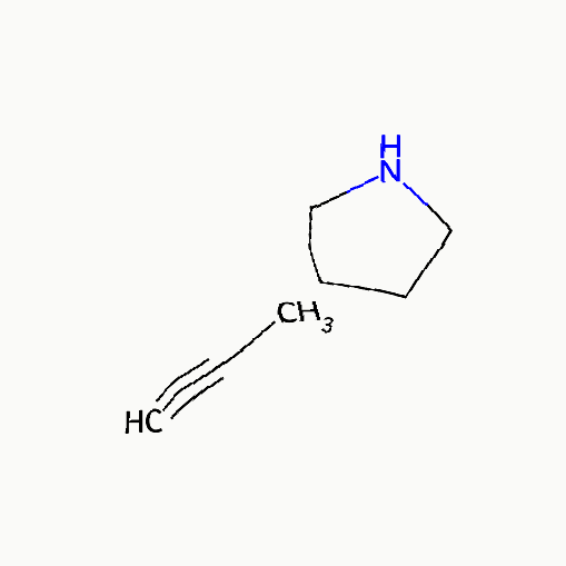 C#CC.C1CCNC1